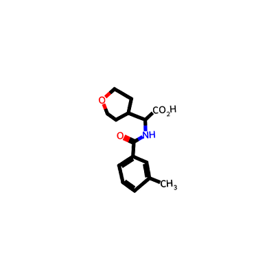 Cc1cccc(C(=O)NC(C(=O)O)C2CCOCC2)c1